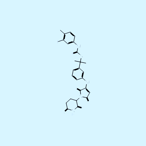 Cc1ccc(NC(=O)NC(C)(C)c2cccc(NC3=CC(=O)N(C4CCC(=O)NC4=O)C3=O)c2)cc1Cl